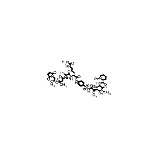 C/C(=C\[C@H](C(C)C)N(C)C(=O)C(NC(=O)[C@H]1CCCCN1C(C)C)C(C)(C)C)C(=O)NS(=O)(=O)c1ccc(NC(=O)[C@H](CCCNC(N)=O)NC(=O)C(NC(=O)CC(C)(C)OC(C)CN2C(=O)C=CC2=O)C(C)C)cc1